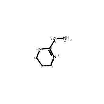 NNC1=NCCCN1